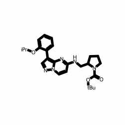 CC(C)Oc1ccccc1-c1cnn2ccc(NCC3CCCN3C(=O)OC(C)(C)C)nc12